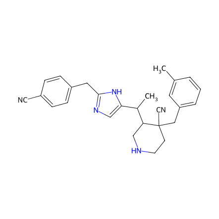 Cc1cccc(CC2(C#N)CCNCC2C(C)c2cnc(Cc3ccc(C#N)cc3)[nH]2)c1